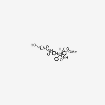 COC(=O)c1cc2c(cc1C)/C(=C(\Nc1ccc(C(=O)NCC(=O)N3CCN(CCO)CC3)cc1)c1ccccc1)C(=O)N2